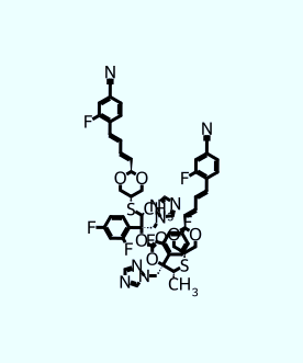 C[C@@H](S[C@H]1CO[C@H](/C=C/C=C/c2ccc(C#N)cc2F)OC1)[C@@](Cn1cncn1)(OC(=O)O[C@@](Cn1cncn1)(c1ccc(F)cc1F)[C@@H](C)S[C@H]1CO[C@H](/C=C/C=C/c2ccc(C#N)cc2F)OC1)c1ccc(F)cc1F